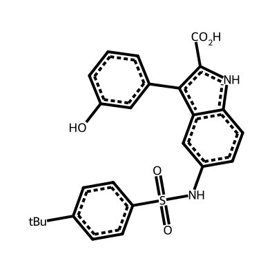 CC(C)(C)c1ccc(S(=O)(=O)Nc2ccc3[nH]c(C(=O)O)c(-c4cccc(O)c4)c3c2)cc1